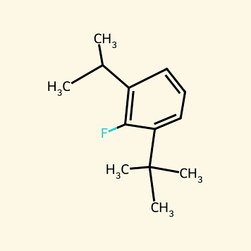 CC(C)c1cccc(C(C)(C)C)c1F